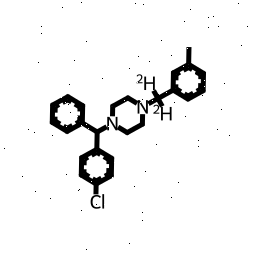 [2H]C([2H])(c1cccc(C)c1)N1CCN(C(c2ccccc2)c2ccc(Cl)cc2)CC1